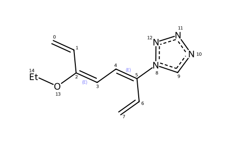 C=C/C(=C\C=C(/C=C)n1cnnn1)OCC